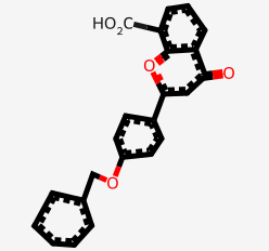 O=C(O)c1cccc2c(=O)cc(-c3ccc(OCc4ccccc4)cc3)oc12